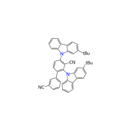 CC(C)(C)c1ccc2c3ccccc3n(-c3ccc(-c4cccc(C#N)c4)c(-n4c5ccccc5c5ccc(C(C)(C)C)cc54)c3C#N)c2c1